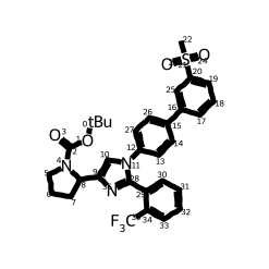 CC(C)(C)OC(=O)N1CCCC1c1cn(-c2ccc(-c3cccc(S(C)(=O)=O)c3)cc2)c(-c2ccccc2C(F)(F)F)n1